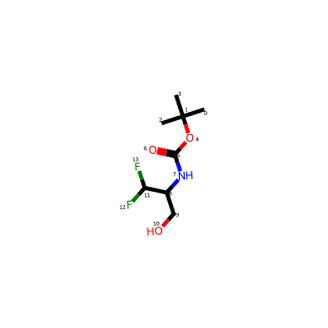 CC(C)(C)OC(=O)NC(CO)C(F)F